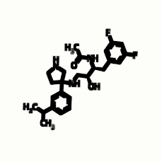 CC(=O)N[C@@H](Cc1cc(F)cc(F)c1)[C@@H](O)CNC1(c2cccc(C(C)C)c2)CCNC1